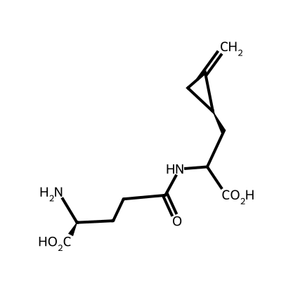 C=C1C[C@@H]1CC(NC(=O)CC[C@H](N)C(=O)O)C(=O)O